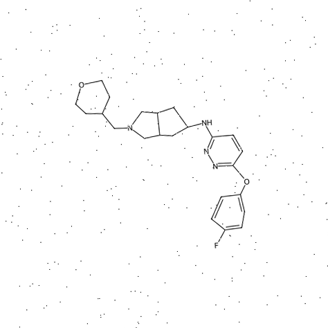 Fc1ccc(Oc2ccc(NC3CC4CN(CC5CCOCC5)CC4C3)nn2)cc1